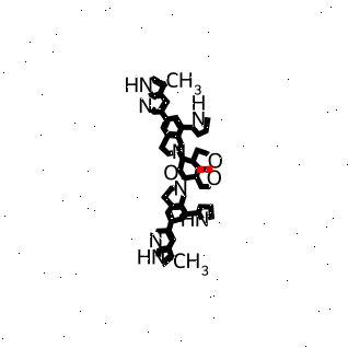 Cc1c[nH]c2ncc(-c3cc4c(c(C5CCCN5)c3)CN(C(C(=O)C(C3CCOCC3)N3CCc5cc(-c6cnc7[nH]cc(C)c7c6)cc(C6CCCN6)c5C3)C3CCOCC3)CC4)cc12